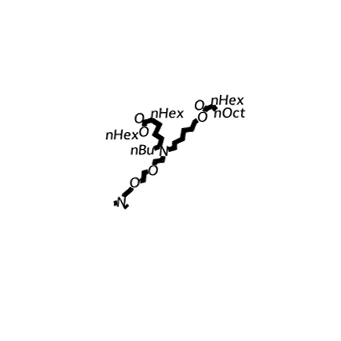 CCCCCCCCC(CCCCCC)C(=O)OCCCCCCN(CCOCCOCCN(C)C)C(CCCC)CCCC(CCCCCC)C(=O)OCCCCCC